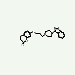 O=C1CCc2ccc(OCCCN3CCN(c4nsc5ccccc45)CC3)cc2N1